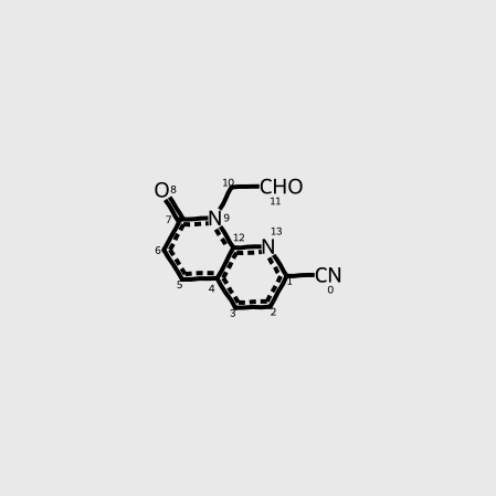 N#Cc1ccc2ccc(=O)n(CC=O)c2n1